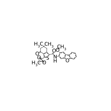 COc1cc2c(cc1NC(=O)c1sc(S(C)(=O)=O)c3c1CC(C)(C)CC3=O)oc1ccccc12